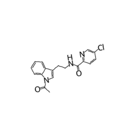 CC(=O)n1cc(CCNC(=O)c2ccc(Cl)cn2)c2ccccc21